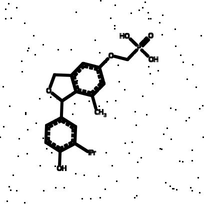 Cc1cc(OCP(=O)(O)O)cc2c1C(c1ccc(O)c(C(C)C)c1)OC2